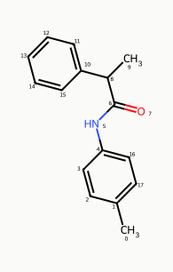 Cc1ccc(NC(=O)C(C)c2ccccc2)cc1